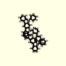 N#Cc1ccc(-c2ccnc(-n3c4ccccc4c4cc5c6ccccc6n(-c6ccccc6)c5cc43)c2-n2c3ccccc3c3cc4c5ccccc5n(-c5ccccc5)c4cc32)cc1